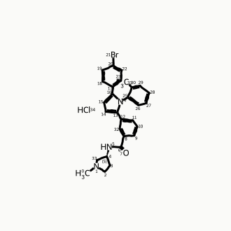 CN1CC[C@H](NC(=O)c2cccc(-c3ccc(-c4ccc(Br)cc4)n3-c3ccccc3C(F)(F)F)c2)C1.Cl